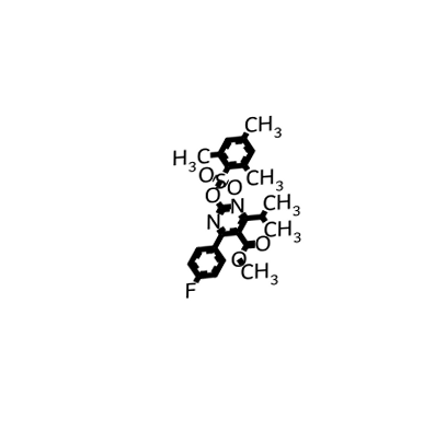 COC(=O)c1c(-c2ccc(F)cc2)nc(OS(=O)(=O)c2c(C)cc(C)cc2C)nc1C(C)C